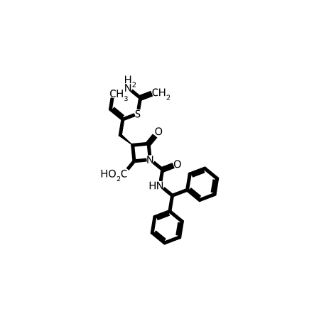 C=C(N)S/C(=C\C)C[C@H]1C(=O)N(C(=O)NC(c2ccccc2)c2ccccc2)C1C(=O)O